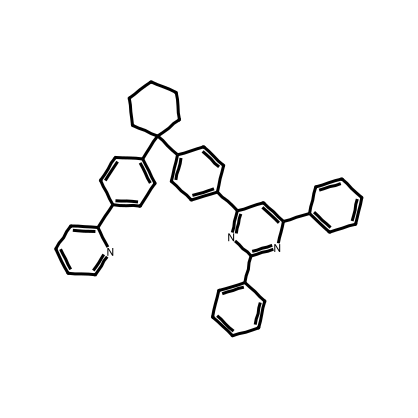 c1ccc(-c2cc(-c3ccc(C4(c5ccc(-c6ccccn6)cc5)CCCCC4)cc3)nc(-c3ccccc3)n2)cc1